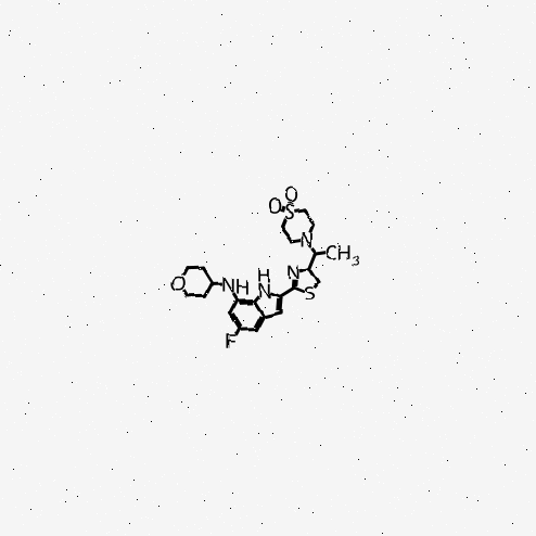 CC(C1CSC(c2cc3cc(F)cc(NC4CCOCC4)c3[nH]2)=N1)N1CCS(=O)(=O)CC1